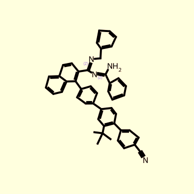 CC(C)(C)c1cc(-c2ccc(-c3c(C(/N=C(\N)c4ccccc4)=N/Cc4ccccc4)ccc4ccccc34)cc2)ccc1-c1ccc(C#N)cc1